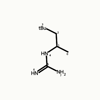 CC(CC(C)(C)C)NC(=N)N